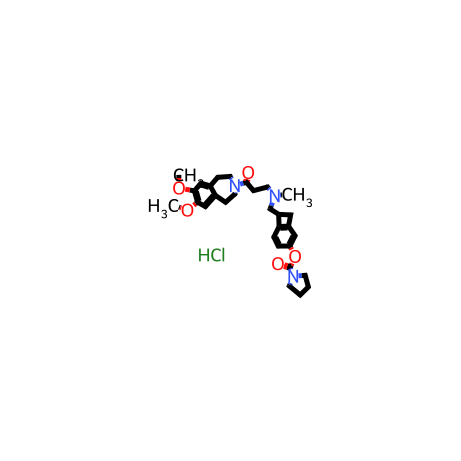 COc1cc2c(cc1OC)CCN(C(=O)CCN(C)CC1Cc3cc(OC(=O)N4CCCC4)ccc31)CC2.Cl